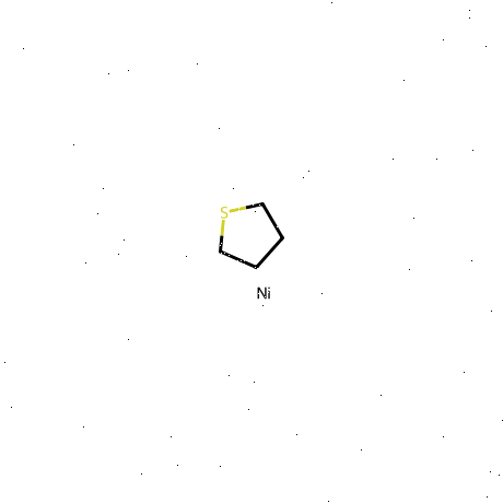 C1CCSC1.[Ni]